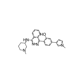 CN1CCC[C@@H](Nc2nnc(-c3ccc(-c4ccn(C)c4)cc3O)c3ccccc23)C1